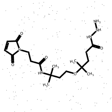 CC(C)(CCOC(C)(C)CCC(=O)NNN)NC(=O)CCN1C(=O)C=CC1=O